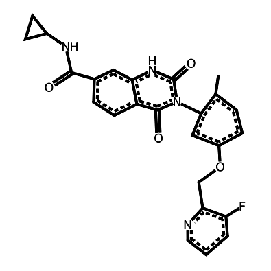 Cc1ccc(OCc2ncccc2F)cc1-n1c(=O)[nH]c2cc(C(=O)NC3CC3)ccc2c1=O